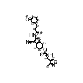 COc1cccc(CCC(=O)Nc2sc3c(c2C#N)CCC(OC(=O)NCc2conc2C)C3)c1